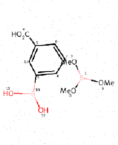 COB(OC)OC.O=C(O)c1cccc(B(O)O)c1